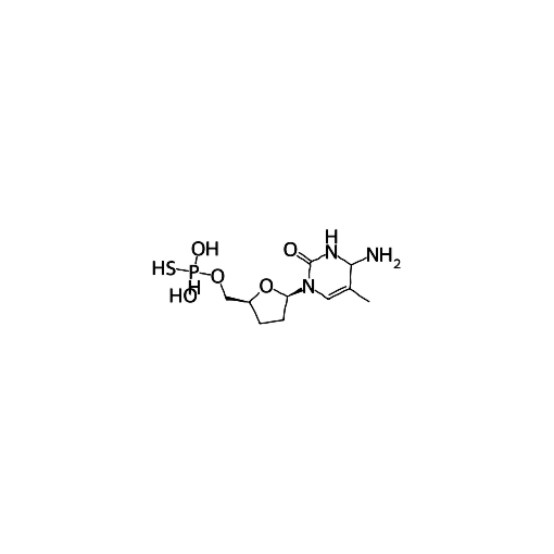 CC1=CN([C@H]2CC[C@@H](CO[PH](O)(O)S)O2)C(=O)NC1N